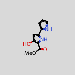 COC(=O)c1[nH]c(-c2ccc[nH]2)cc1O